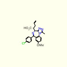 C=CC[C@@H](C(=O)O)[C@@H]1N=C(c2ccc(Cl)cc2)c2cc(OC)ccc2-n2c(C)nnc21